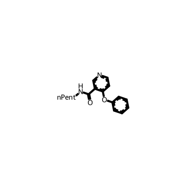 CCCCCNC(=O)c1cnccc1Oc1ccccc1